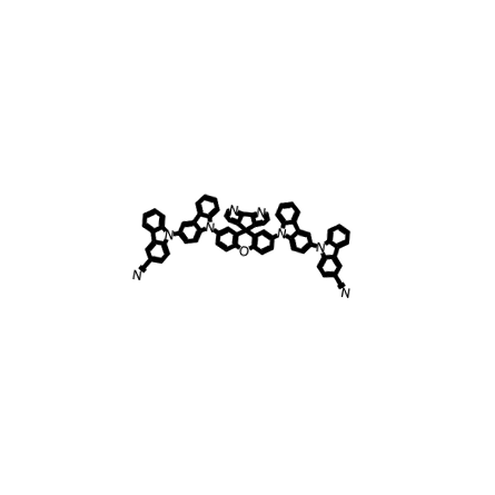 N#Cc1ccc2c(c1)c1ccccc1n2-c1ccc2c(c1)c1ccccc1n2-c1ccc2c(c1)C1(c3cc(-n4c5ccccc5c5cc(-n6c7ccccc7c7cc(C#N)ccc76)ccc54)ccc3O2)c2cccnc2-c2ncccc21